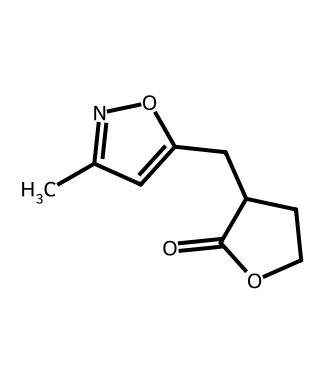 Cc1cc(CC2CCOC2=O)on1